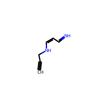 C#CCN/C=C\C=N